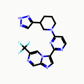 FC(F)(F)c1cn2c(-c3nccc(N4CCCC(c5cn[nH]n5)C4)n3)cnc2cn1